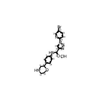 Cl.O=C(Nc1ccc(C2CNCCO2)cc1)c1cn(-c2ccc(Br)cn2)nn1